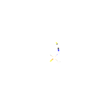 CCP(C)(=S)N=C=S